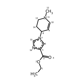 CCOC(=O)c1cn(C2C=CN(C)CC2)cn1